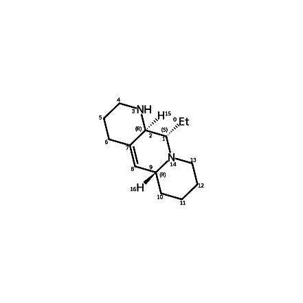 CC[C@H]1[C@@H]2NCCCC2=C[C@H]2CCCCN21